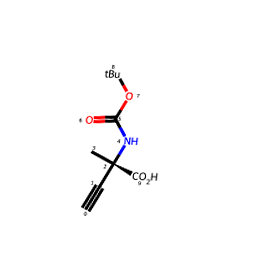 C#C[C@](C)(NC(=O)OC(C)(C)C)C(=O)O